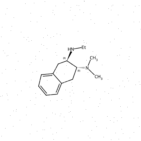 CCN[C@@H]1Cc2ccccc2C[C@H]1N(C)C